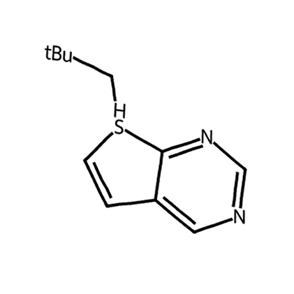 CC(C)(C)C[SH]1C=Cc2cncnc21